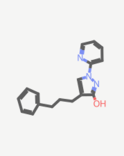 Oc1nn(-c2ccccn2)cc1CCCc1ccccc1